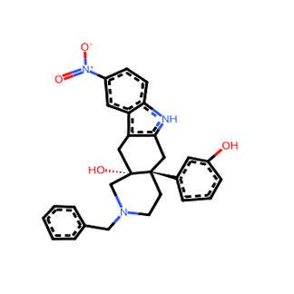 O=[N+]([O-])c1ccc2[nH]c3c(c2c1)C[C@]1(O)CN(Cc2ccccc2)CC[C@@]1(c1cccc(O)c1)C3